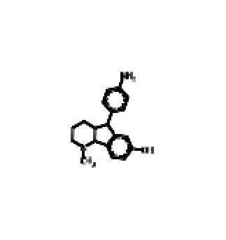 CN1CCCC2C(c3ccc(N)cc3)c3cc(O)ccc3C21